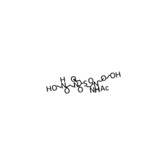 CC(=O)NC(CSC1CC(=O)N(CCC(=O)NCCO)C1=O)C(=O)NCCOCCO